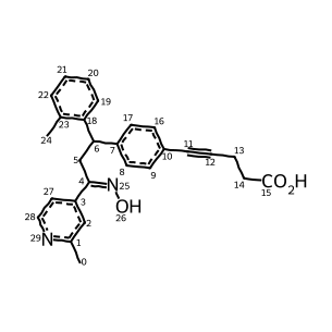 Cc1cc(C(CC(c2ccc(C#CCCC(=O)O)cc2)c2ccccc2C)=NO)ccn1